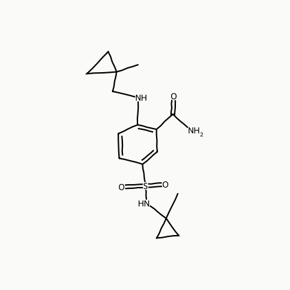 CC1(CNc2ccc(S(=O)(=O)NC3(C)CC3)cc2C(N)=O)CC1